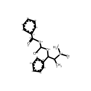 CCN(C)C(C)C(OC(Cl)OC(=O)c1ccccc1)c1ccccc1